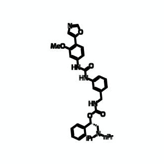 CCCN(C[C@@H](OC(=O)NCc1cccc(NC(=O)Nc2ccc(-c3cnco3)c(OC)c2)c1)c1ccccc1)C(C)C